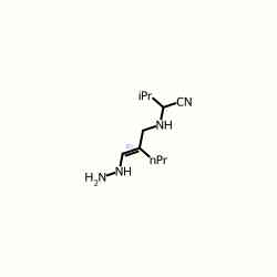 CCC/C(=C\NN)CNC(C#N)C(C)C